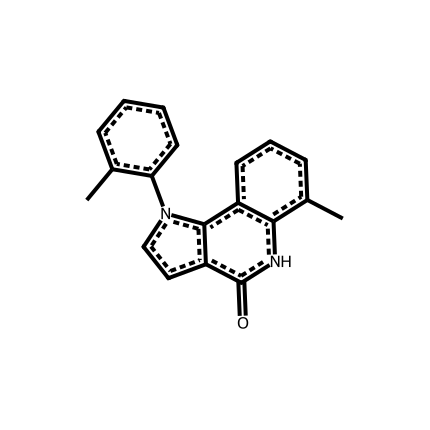 Cc1ccccc1-n1ccc2c(=O)[nH]c3c(C)cccc3c21